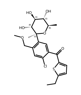 CCc1ccc(C(=O)c2cc([C@]3(C)O[C@H](C)[C@@H](O)[C@H](O)[C@H]3O)c(COC)cc2Cl)s1